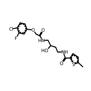 Cc1ccc(C(=O)NCCC(O)CNC(=O)COc2ccc(Cl)c(F)c2)s1